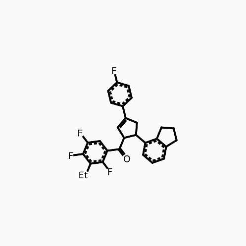 CCc1c(F)c(F)cc(C(=O)C2C=C(c3ccc(F)cc3)CC2c2cccc3c2CCC3)c1F